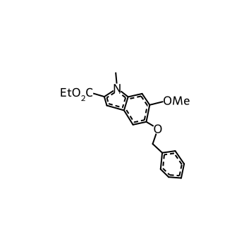 CCOC(=O)c1cc2cc(OCc3ccccc3)c(OC)cc2n1C